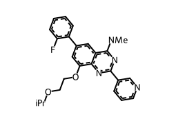 CNc1nc(-c2cccnc2)nc2c(OCCOC(C)C)cc(-c3ccccc3F)cc12